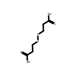 S=C(S)CCSSCCC(=S)S